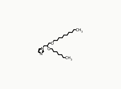 CCCCCCCCCCOCC(Cn1ccnc1)OCCCCCCC